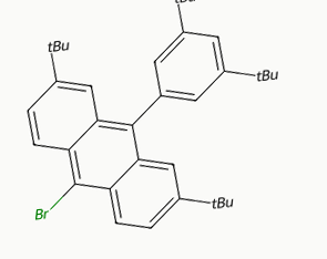 CC(C)(C)c1cc(-c2c3cc(C(C)(C)C)ccc3c(Br)c3ccc(C(C)(C)C)cc23)cc(C(C)(C)C)c1